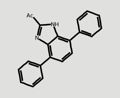 CC(=O)c1nc2c(-c3ccccc3)ccc(-c3ccccc3)c2[nH]1